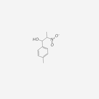 Cc1ccc(C(O)C(C)[N+](=O)[O-])cc1